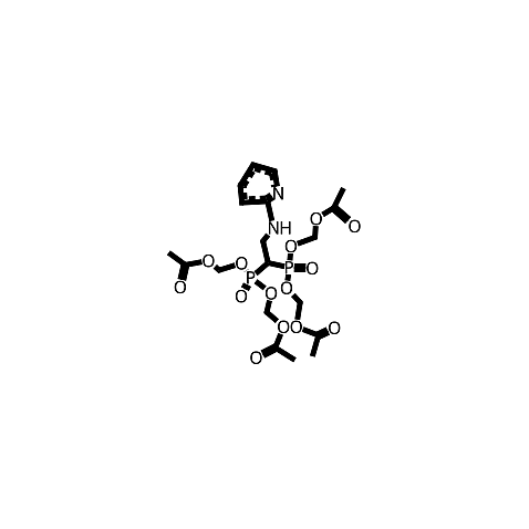 CC(=O)OCOP(=O)(OCOC(C)=O)C(CNc1ccccn1)P(=O)(OCOC(C)=O)OCOC(C)=O